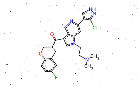 CN(C)CCn1cc(C(=O)C2COc3ccc(F)cc3C2)c2cnc(-c3c[nH]nc3Cl)cc21